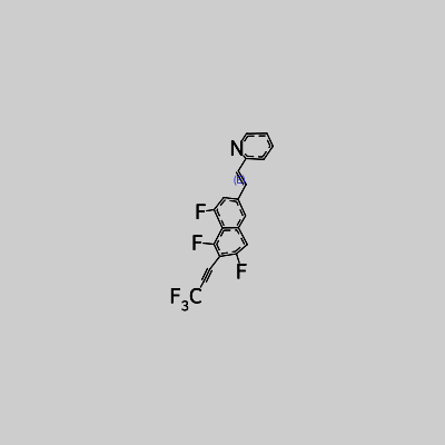 Fc1cc2cc(/C=C/c3ccccn3)cc(F)c2c(F)c1C#CC(F)(F)F